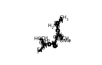 COC[C@@H](C)Oc1nc(C(=O)NCCn2nc(C3CCN(c4cc(C(=O)N[C@H](C)CO)nc(OCC5CC5(F)F)n4)CC3)c3cccnc32)nc(N2CCC(COc3cc(-c4cn(C)cn4)cnc3N)CC2)n1